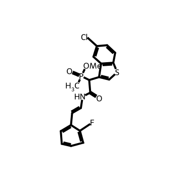 COP(C)(=O)C(C(=O)N/C=C/c1ccccc1F)c1csc2ccc(Cl)cc12